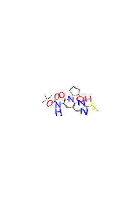 CSc1ncc2cc(NC(=O)OC(C)(C)C)c(=O)n([C@@H]3CCC[C@@]3(C)O)c2n1